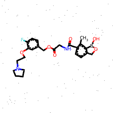 Cc1c(C(=O)NCC(=O)OCc2ccc(F)c(OCCN3CCCC3)c2)ccc2c1B(O)OC2